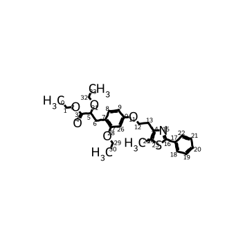 CCOC(=O)C(Cc1ccc(OCCc2nc(-c3ccccc3)sc2C)cc1OCC)OCC